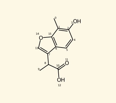 Cc1c(O)ccc2c(C(C)C(=O)O)coc12